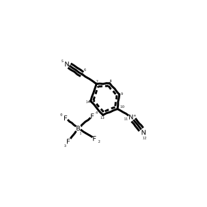 F[B-](F)(F)F.N#Cc1ccc([N+]#N)cc1